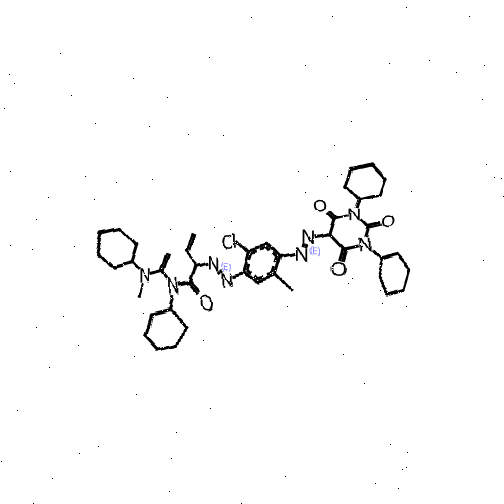 C=CC(/N=N/c1cc(C)c(/N=N/C2C(=O)N(C3CCCCC3)C(=O)N(C3CCCCC3)C2=O)cc1Cl)C(=O)N(C(=C)N(C)C1CCCCC1)C1CCCCC1